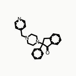 O=C1c2ccccc2CC1(c1ccccc1)N1CCN(Cc2ccncc2)CC1